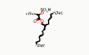 CCCCCCCCCCCCCCCCC(CCCCCCCCCCCCCC)COC(=O)C(CCCCCC)OS(=O)(=O)O